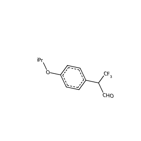 CC(C)Oc1ccc(C(C=O)C(F)(F)F)cc1